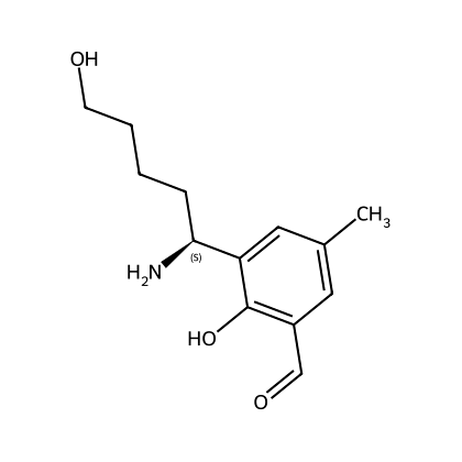 Cc1cc(C=O)c(O)c([C@@H](N)CCCCO)c1